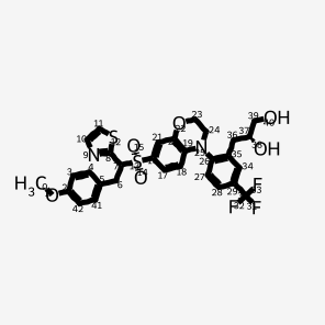 COc1ccc(CC(c2nccs2)S(=O)(=O)c2ccc3c(c2)OCCN3c2ccc(C(F)(F)F)cc2C[C@H](O)CO)cc1